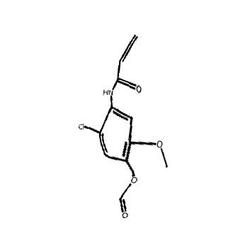 C=CC(=O)Nc1cc(OC)c(OC=O)cc1Cl